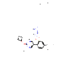 CC(=O)Nc1ccc(-c2cnc(OC3CCC3)nc2)c(S(=O)(=O)/N=C/N(C)C)c1